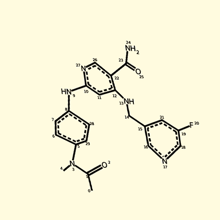 CC(=O)N(C)c1ccc(Nc2cc(NCc3cncc(F)c3)c(C(N)=O)cn2)cc1